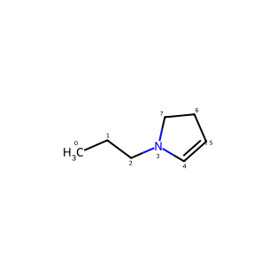 CCCN1C=[C]CC1